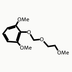 COCCOCOc1c(OC)cccc1OC